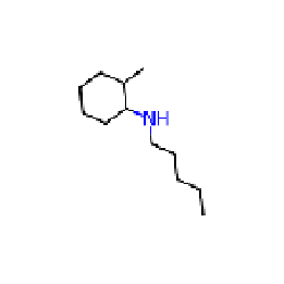 CCCCCNC1CCCCC1C